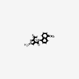 Cn1cc(C(=O)Nc2cccc3c2CCCC3=C=O)c(C(F)F)n1